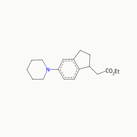 CCOC(=O)CC1CCc2cc(N3CCCCC3)ccc21